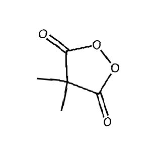 CC1(C)C(=O)OOC1=O